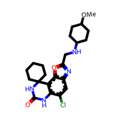 COC1CCC(NCc2nc3cc(Cl)c4c(c3o2)C2(CCCCC2)NC(=O)N4)CC1